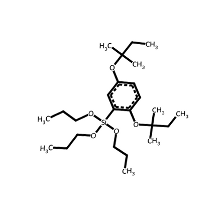 CCCO[Si](OCCC)(OCCC)c1cc(OC(C)(C)CC)ccc1OC(C)(C)CC